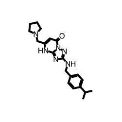 CC(C)c1ccc(CNc2nc3[nH]c(CN4CCCC4)cc(=O)n3n2)cc1